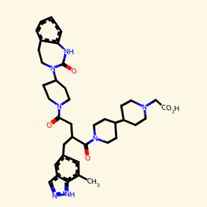 Cc1cc(CC(CC(=O)N2CCC(N3CCc4ccccc4NC3=O)CC2)C(=O)N2CCC(C3CCN(CC(=O)O)CC3)CC2)cc2cn[nH]c12